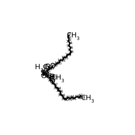 CCCCCCCC/C=C\CCCCCCCCOCC(COP(O)(=S)OCC(COCCCCCCCC/C=C\CCCCCCCC)OC)OC